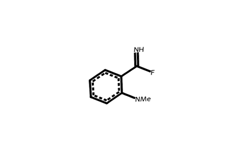 CNc1ccccc1C(=N)F